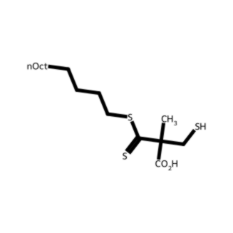 CCCCCCCCCCCCSC(=S)C(C)(CS)C(=O)O